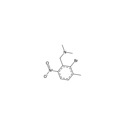 Cc1ccc([N+](=O)[O-])c(CN(C)C)c1Br